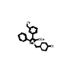 CCC1CCC(Cn2nc(-c3ccccc3)c(-c3cccc(CC(C)C)c3)c2SC)CC1